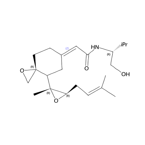 CC(C)=CC[C@H]1O[C@]1(C)C1C/C(=C\C(=O)N[C@@H](CO)C(C)C)CC[C@]12CO2